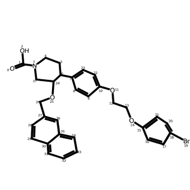 O=C(O)N1CCC(c2ccc(OCCOc3ccc(Br)cc3)cc2)C(OCc2ccc3ccccc3c2)C1